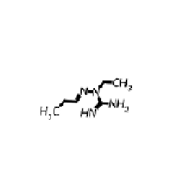 CCC=NN(CC)C(=N)N